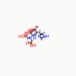 O=C(O)CN(CC(=O)O)C(N[C@@H](Cc1c[nH]cn1)C(=O)O)C(=O)O